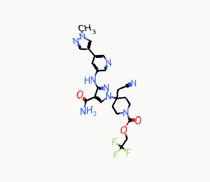 Cn1cc(-c2cncc(Nc3nn(C4(CC#N)CCN(C(=O)OCC(F)(F)F)CC4)cc3C(N)=O)c2)cn1